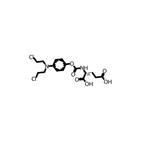 O=C(O)CC[C@@H](NC(=O)Oc1ccc(N(CCCl)CCCl)cc1)C(=O)O